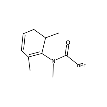 CCCC(=O)N(C)C1=C(C)C=CCC1C